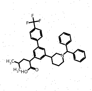 CC(C)CC(C(=O)O)c1cc(-c2ccc(C(F)(F)F)cc2)cc(C2CCCN(C(c3ccccc3)c3ccccc3)C2)c1